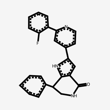 O=C1NCC(c2ccccc2)c2[nH]c(-c3ccnc(-c4ccccc4F)c3)cc21